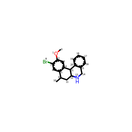 COc1cc2c(cc1Br)C(C)CC1NCc3ccccc3C21